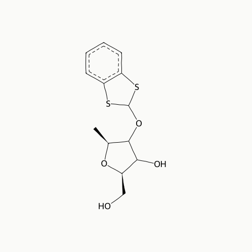 C[C@@H]1O[C@H](CO)C(O)C1OC1Sc2ccccc2S1